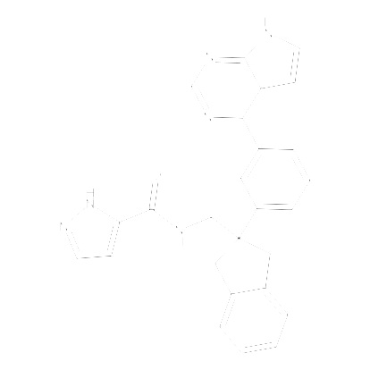 O=C(NCC1(c2cccc(C3N=CN=C4NC=CC43)c2)Cc2ccccc2C1)c1ccn[nH]1